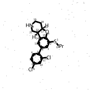 CC(C)Sc1cc(-c2ccc(Cl)cc2Cl)cc2c1O[C@H]1CCNC[C@@H]21